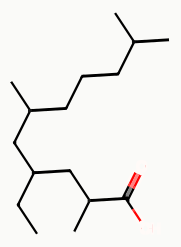 CCC(CC(C)CCCC(C)C)CC(C)C(=O)O